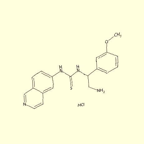 COc1cccc(C(CN)NC(=S)Nc2ccc3cnccc3c2)c1.Cl